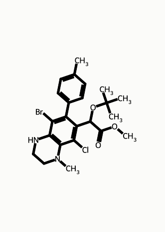 COC(=O)C(OC(C)(C)C)c1c(Cl)c2c(c(Br)c1-c1ccc(C)cc1)NCCN2C